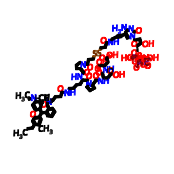 CCCc1cc2c(cc1C)C(c1ccccc1C(=O)N(C)CCCC(=O)NCCCCC(NC(=O)C1CCCN1C(=O)CCSSCCC(=O)NCC#Cc1cn([C@H]3CC(O)[C@@H](COP(=O)(O)OP(=O)(O)OP(=O)(O)O)O3)c(=O)nc1N)C(=O)N1CCCC1C(=O)NC(CC(=O)O)C(=O)NC(CC(=O)O)C(=O)O)C1C=C(C)/C(=N/CC)C=C1O2